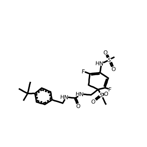 CC(C)(C)c1ccc(CNC(=O)NCC2(S(C)(=O)=O)CC(F)=C(NS(C)(=O)=O)C=C2F)cc1